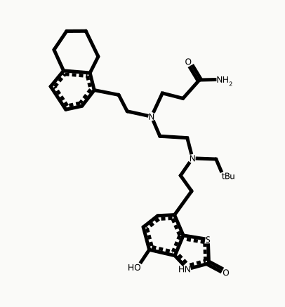 CC(C)(C)CN(CCc1ccc(O)c2[nH]c(=O)sc12)CCN(CCC(N)=O)CCc1cccc2c1CCCC2